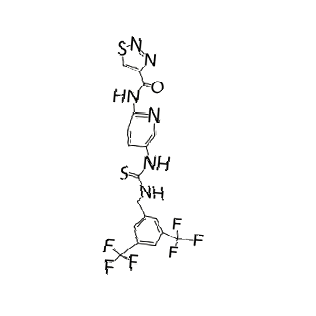 O=C(Nc1ccc(NC(=S)NCc2cc(C(F)(F)F)cc(C(F)(F)F)c2)cn1)c1csnn1